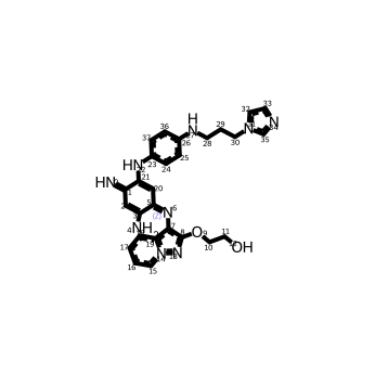 N=C1C=C(N)/C(=N\c2c(OCCO)nn3ccccc23)C=C1Nc1ccc(NCCCn2ccnc2)cc1